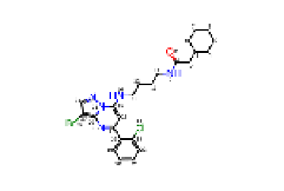 O=C(CC1CCCCC1)NCCCCNc1cc(-c2ccccc2Cl)nc2c(Br)cnn12